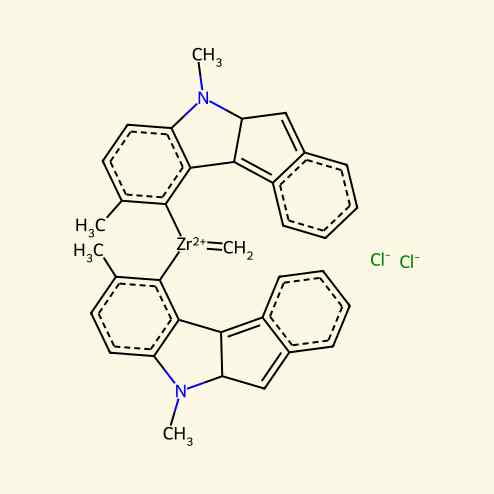 [CH2]=[Zr+2]([c]1c(C)ccc2c1C1=c3ccccc3=CC1N2C)[c]1c(C)ccc2c1C1=c3ccccc3=CC1N2C.[Cl-].[Cl-]